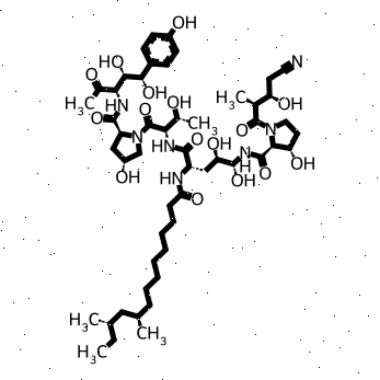 CC[C@H](C)C[C@H](C)CCCCCCCCC(=O)N[C@@H](C[C@@H](O)[C@@H](O)NC(=O)[C@@H]1[C@@H](O)CCN1C(=O)[C@@H](C)[C@H](O)CC#N)C(=O)N[C@H](C(=O)N1C[C@H](O)C[C@H]1C(=O)N[C@H](C(C)=O)[C@H](O)[C@@H](O)c1ccc(O)cc1)[C@@H](C)O